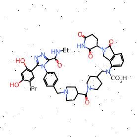 CCNC(=O)c1nnc(-c2cc(C(C)C)c(O)cc2O)n1-c1ccc(CN2CCC(C(=O)N3CCC(CN(C(=O)O)c4cccc5c4CN(C4CCC(=O)NC4=O)C5=O)CC3)CC2)cc1